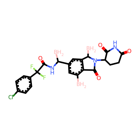 Bc1cc(C(B)NC(=O)C(F)(F)c2ccc(Cl)cc2)cc2c1C(=O)N(C1CCC(=O)NC1=O)C2B